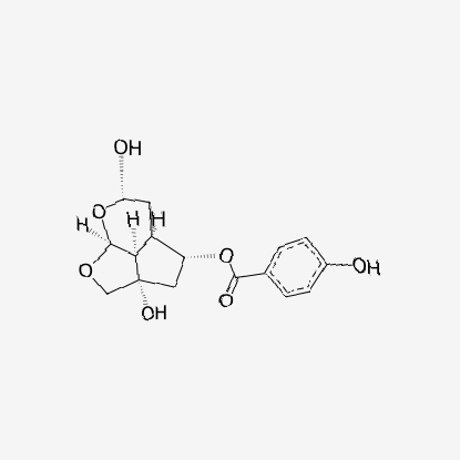 O=C(O[C@@H]1C[C@@]2(O)CO[C@H]3O[C@H](O)C[C@@H]1[C@H]32)c1ccc(O)cc1